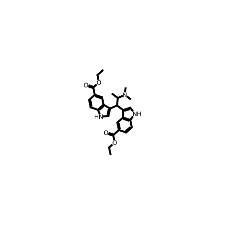 CCOC(=O)c1ccc2[nH]cc(C(c3c[nH]c4ccc(C(=O)OCC)cc34)C(C)N(C)C)c2c1